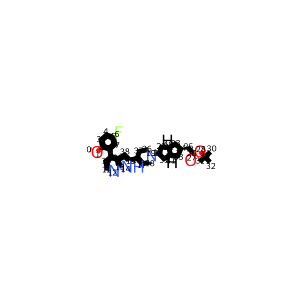 COc1ccc(F)cc1-c1ccnc2[nH]c(C3=CCN([C@H]4C[C@H]5C[C@@H](CC(=O)OC(C)(C)C)C[C@H]5C4)CC3)cc12